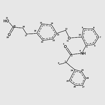 CC(C(=O)Nc1ccccc1OCc1ccc(CCC(=O)O)cc1)c1ccccc1